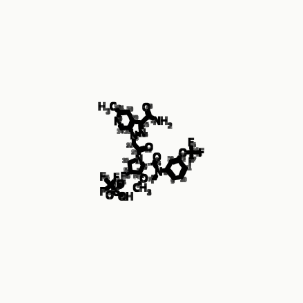 CO[C@H]1[C@@H](C(=O)N(F)c2cccc(OC(F)(F)F)c2)N(C(=O)Cn2nc(C(N)=O)c3cc(C)ncc32)C[C@@H]1F.O=S(=O)(O)C(F)(F)F